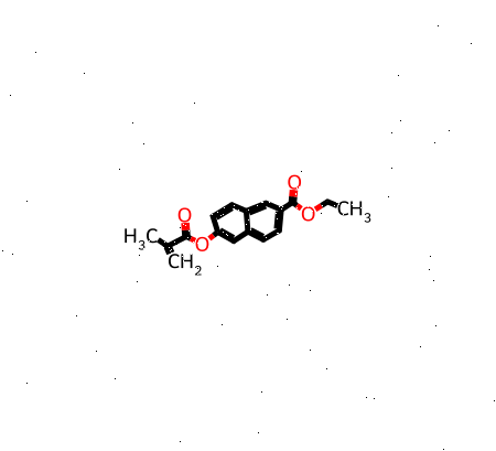 C=C(C)C(=O)Oc1ccc2cc(C(=O)OCC)ccc2c1